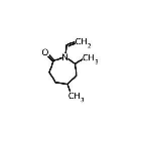 C=CN1C(=O)CCC(C)CC1C